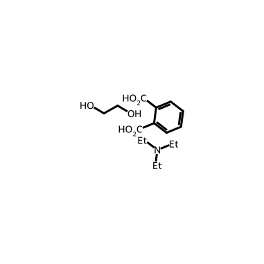 CCN(CC)CC.O=C(O)c1ccccc1C(=O)O.OCCO